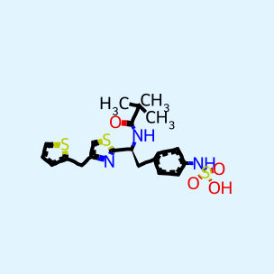 CC(C)(C)C(=O)N[C@@H](Cc1ccc(NS(=O)(=O)O)cc1)c1nc(Cc2cccs2)cs1